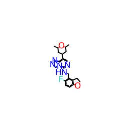 CC1CC(c2cnc(NCc3c(F)ccc4c3CCO4)n3cnnc23)CC(C)O1